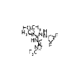 CC(C)(O)CNN1N=C(Nc2cc(F)cc(F)c2)C=C(n2ccc(C(F)(F)F)n2)N1